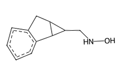 ONCC1C2Cc3ccccc3C12